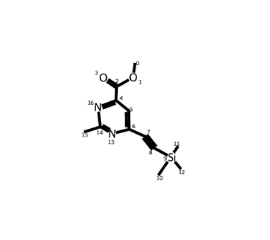 COC(=O)c1cc(C#C[Si](C)(C)C)nc(C)n1